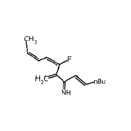 C=C(C(=N)/C=C/CCCC)/C(F)=C\C=C/C